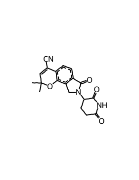 CC1(C)C=C(C#N)c2ccc3c(c2O1)CN(C1CCC(=O)NC1=O)C3=O